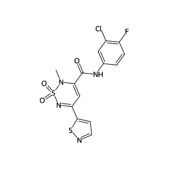 CN1C(C(=O)Nc2ccc(F)c(Cl)c2)=CC(c2ccns2)=NS1(=O)=O